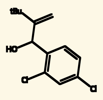 C=C(C(O)c1ccc(Cl)cc1Cl)C(C)(C)C